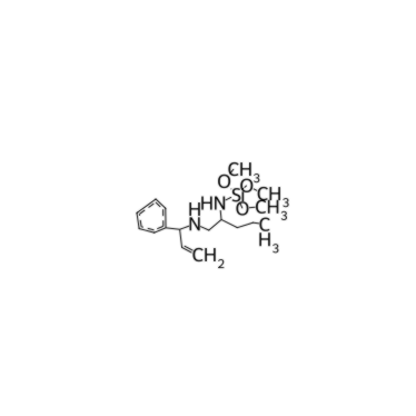 C=CC(NCC(CCC)N[Si](OC)(OC)OC)c1ccccc1